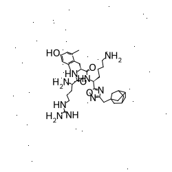 Cc1cc(O)cc(C)c1C[C@H](NC(=O)[C@H](N)CCCNC(=N)N)C(=O)N[C@@H](CCCCN)c1nc(CC23CC4CC(C2)C(C4)C3)no1